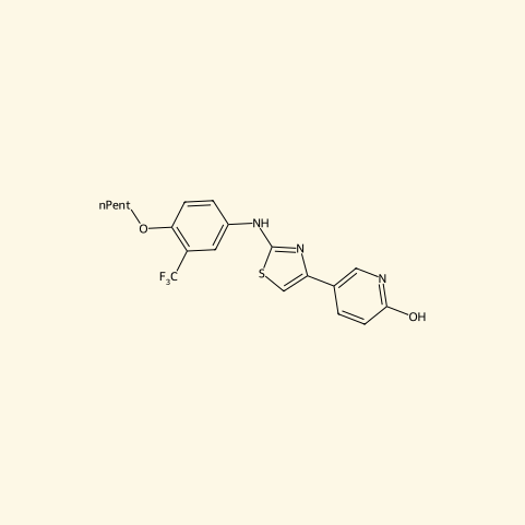 CCCCCOc1ccc(Nc2nc(-c3ccc(O)nc3)cs2)cc1C(F)(F)F